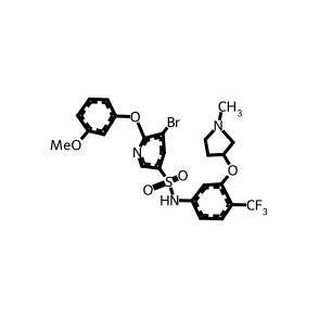 COc1cccc(Oc2ncc(S(=O)(=O)Nc3ccc(C(F)(F)F)c(OC4CCN(C)C4)c3)cc2Br)c1